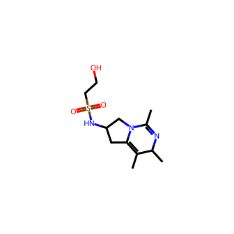 CC1=NC(C)C(C)=C2CC(NS(=O)(=O)CCO)CN12